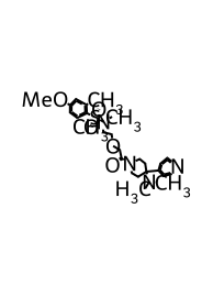 COc1cc(C)c(S(=O)(=O)N(C)CCOCC(=O)N2CCC(c3ccncc3)(N(C)C)CC2)c(C)c1